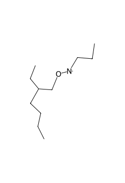 CCCCC(CC)CO[N]CCC